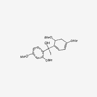 COC1=CC=C(C(O)(I)c2ccc(OC)cc2OC)C(OC)C1